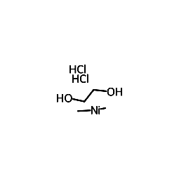 Cl.Cl.OCCO.[CH3][Ni][CH3]